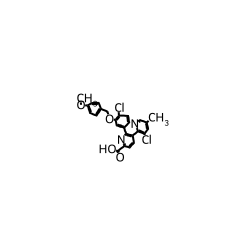 COc1ccc(COc2cc(-c3nc(C(=O)O)ccc3-c3ncc(C)cc3Cl)ccc2Cl)cc1